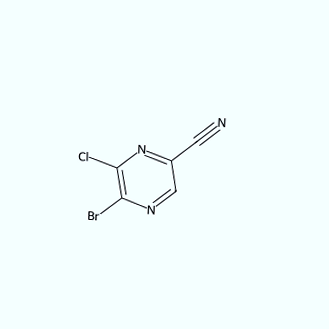 N#Cc1cnc(Br)c(Cl)n1